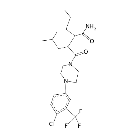 CCCC(C(N)=O)C(CC(C)C)C(=O)N1CCN(c2ccc(Cl)c(C(F)(F)F)c2)CC1